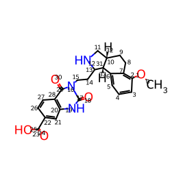 COc1cccc2c1CC[C@H]1CNC(CCn3c(=O)[nH]c4cc(C(=O)O)ccc4c3=O)[C@@H]21